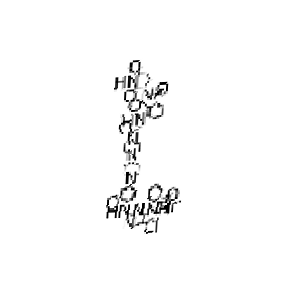 COc1cc(N2CCC(N3CCN(C(=O)CNc4cccc5c4C(=O)N(C4CCC(=O)NC4=O)C5=O)CC3)CC2)ccc1Nc1ncc(Cl)c(Nc2ccccc2S(=O)(=O)C(C)C)n1